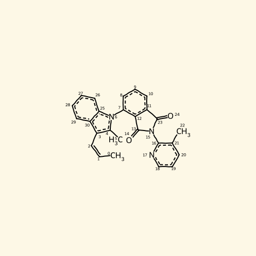 C/C=C\c1c(C)n(-c2cccc3c2C(=O)N(c2ncccc2C)C3=O)c2ccccc12